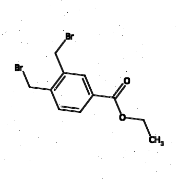 CCOC(=O)c1ccc(CBr)c(CBr)c1